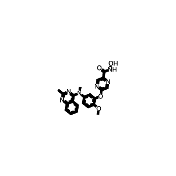 COc1ccc(N(C)c2nc(C)nc3ccccc23)cc1Oc1cnc(C(=O)NO)cn1